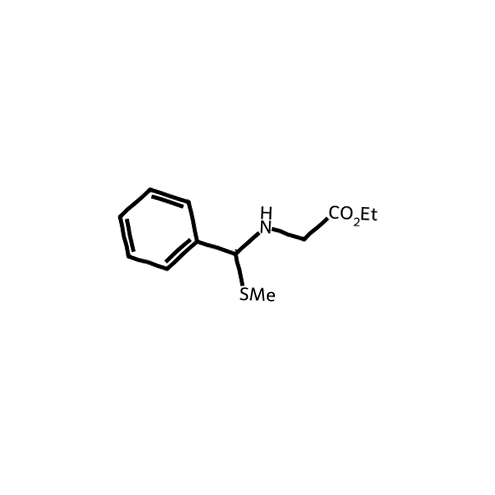 CCOC(=O)CN[C](SC)c1ccccc1